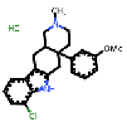 COc1cccc(C23CCN(C)CC2Cc2c([nH]c4c(Cl)cccc24)C3)c1.Cl